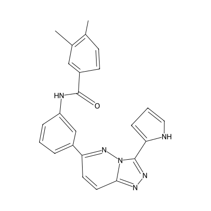 Cc1ccc(C(=O)Nc2cccc(-c3ccc4nnc(-c5ccc[nH]5)n4n3)c2)cc1C